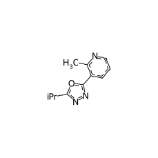 Cc1ncccc1-c1nnc(C(C)C)o1